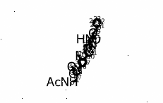 CC(=O)NC[C@H]1CN(c2ccc(-c3ccc4nc(NC(=O)OCc5ccccc5)cn4c3)c(F)c2)C(=O)O1